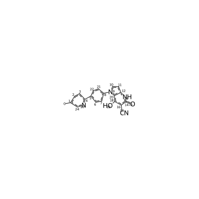 Cc1ccc(-c2ccc(-n3ccc4[nH]c(=O)c(C#N)c(O)c43)cc2)nc1